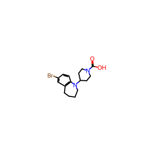 O=C(O)N1CCC(N2CCCCc3cc(Br)ccc32)CC1